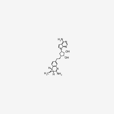 C=C1[C@H]2C(N)=Nc3cc(CC[C@H]4C[C@@H](n5ccc6c(N)ncnc65)[C@H](O)[C@@H]4O)ccc3[C@@H]12